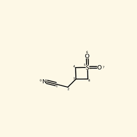 N#CCC1CS(=O)(=O)C1